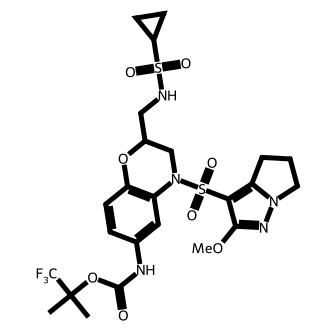 COc1nn2c(c1S(=O)(=O)N1CC(CNS(=O)(=O)C3CC3)Oc3ccc(NC(=O)OC(C)(C)C(F)(F)F)cc31)CCC2